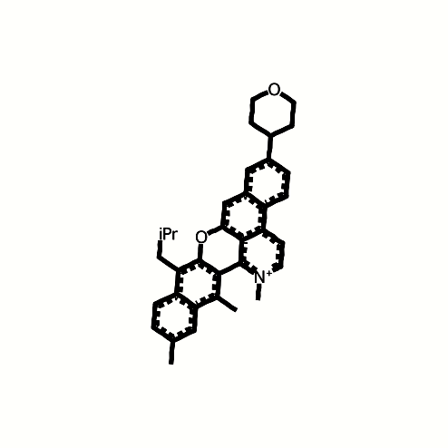 Cc1ccc2c(CC(C)C)c3c(c(C)c2c1)-c1c2c(cc4cc(C5CCOCC5)ccc4c2cc[n+]1C)O3